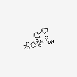 CC1(C)CCc2cc(S(=O)(=O)N(CC(=O)O)Cc3ccccc3-c3ccccc3)ccc2O1